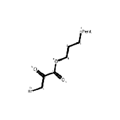 CCCCCCCCOC(=O)C(=O)CBr